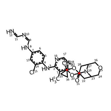 Cc1c(Nc2ccc(N/C=N\C=N)cc2Cl)ncnc1OC1CC2COCC(C1)N2C(=O)OC1(C)CC1